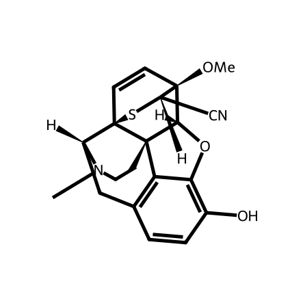 CO[C@]12C=C[C@@]3(S[C@H]1C#N)[C@H]1Cc4ccc(O)c5c4[C@@]3(CCN1C)[C@H]2O5